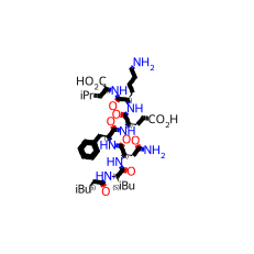 CC[C@H](C)CC(=O)N[C@H](C(=O)N[C@@H](CC(N)=O)C(=O)N[C@@H](Cc1ccccc1)C(=O)N[C@@H](CCC(=O)O)C(=O)N[C@@H](CCCCN)C(=O)N[C@@H](CC(C)C)C(=O)O)[C@@H](C)CC